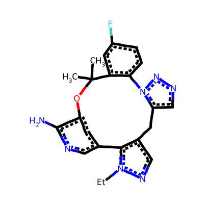 CCn1ncc2c1-c1cnc(N)c(c1)OC(C)(C)c1cc(F)ccc1-n1nncc1C2